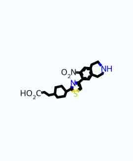 O=C(O)CCC1CCC(c2nc(-c3cc4c(cc3[N+](=O)[O-])CCNCC4)cs2)CC1